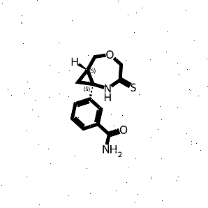 NC(=O)c1cccc([C@]23C[C@@H]2COCC(=S)N3)c1